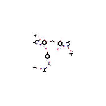 C=CCOC(=O)NC(C(=O)NC(C)C(=O)Nc1ccc(COC(=O)Nc2cc(OCCCOc3cc(NC(=O)O)c(C(=O)N4CC(=C)CC4CO[Si](C)(C)C(C)(C)C)cc3OC)c(OC)cc2C(=O)N2CC(=C)CC2CO[Si](C)(C)C(C)(C)C)cc1)C(C)C